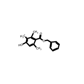 Cc1cc(O)c(C)c(C)c1C(=O)OCc1ccccc1